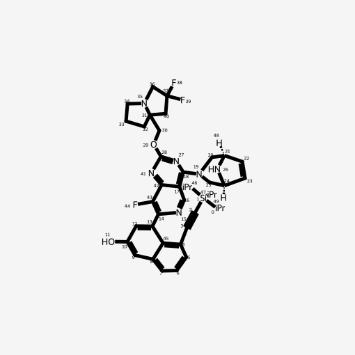 CC(C)[Si](C#Cc1cccc2cc(O)cc(-c3ncc4c(N5C[C@H]6C=C[C@@H](C5)N6)nc(OCC56CCCN5CC(F)(F)C6)nc4c3F)c12)(C(C)C)C(C)C